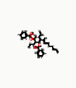 CCCCCC=CC(C)C(CCC)C(OC(=O)c1ccccc1)C(CCC)C(C)OC(=O)c1ccccc1